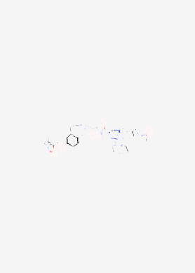 CC(=O)N1CC(Nc2cc(C(=O)NCC(O)CN3CCc4cc(OCc5ocnc5C)ccc4C3)nc(N3CCCCC3)n2)C1